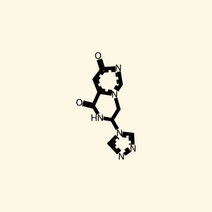 O=C1NC(n2cnnc2)Cn2cnc(=O)cc21